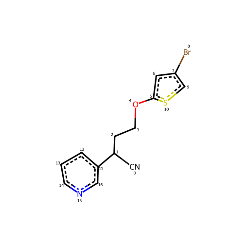 N#CC(CCOc1cc(Br)cs1)c1cccnc1